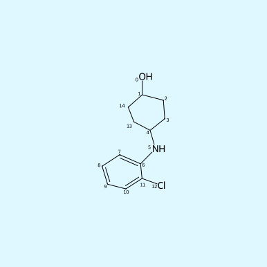 OC1CCC(Nc2ccccc2Cl)CC1